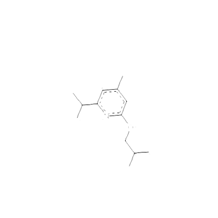 Cc1cc(OCC(C)C)nc(C(C)C)c1